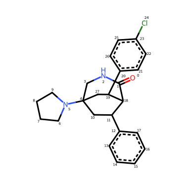 O=C1NCC2(N3CCCC3)CC(c3ccccc3)C1C(c1ccc(Cl)cc1)C2